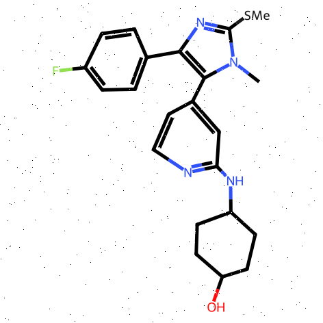 CSc1nc(-c2ccc(F)cc2)c(-c2ccnc(NC3CCC(O)CC3)c2)n1C